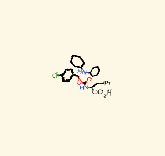 C1CCC(NC2CCCCC2)CC1.CC(C)C[C@H](NC(=O)OCc1ccc(Cl)cc1)C(=O)O